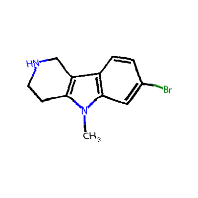 Cn1c2c(c3ccc(Br)cc31)CNCC2